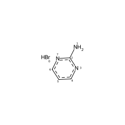 Br.Nc1ncccn1